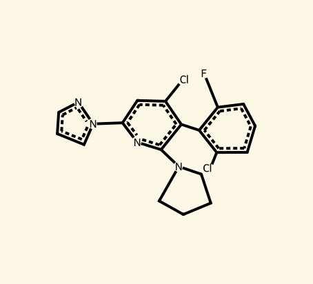 Fc1cccc(Cl)c1-c1c(Cl)cc(-n2cccn2)nc1N1CCCC1